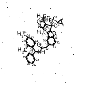 CCC(OC1(C(=O)O)CC1)(c1cc2cc(CC(=O)NC(c3ccccc3)c3ccc(C)cc3C)ccc2o1)c1c(C)noc1C